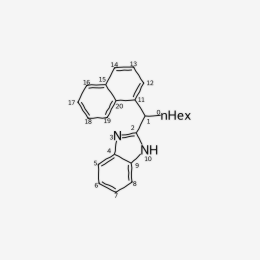 CCCCCCC(c1nc2ccccc2[nH]1)c1cccc2ccccc12